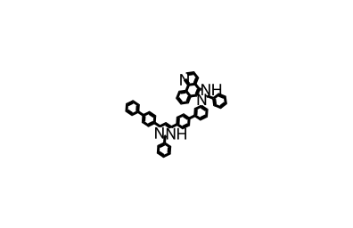 C1=C(c2ccc(-c3cccc(N4c5c(c6cccnc6c6ccccc56)NC4c4ccccc4)c3)cc2)NC(c2ccccc2)N=C1c1ccc(-c2ccccc2)cc1